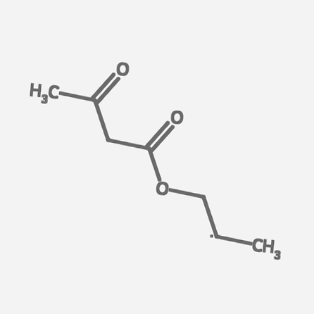 C[CH]COC(=O)CC(C)=O